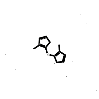 CC1=[C]([V][C]2=C(C)C=CC2)CC=C1